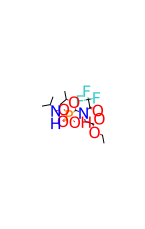 CCOC(=O)CN(C(=O)C(F)(F)F)C(OC(C)C)P(=O)(O)ONC(C)C